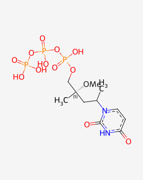 CO[C@](C)(COP(=O)(O)OP(=O)(O)OP(=O)(O)O)CC(C)n1ccc(=O)[nH]c1=O